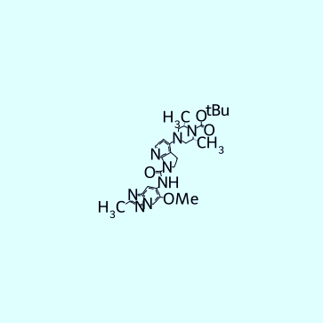 COc1cn2nc(C)nc2cc1NC(=O)N1CCc2c(N3C[C@@H](C)N(C(=O)OC(C)(C)C)[C@@H](C)C3)ccnc21